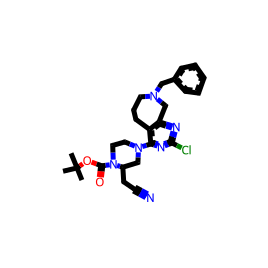 CC(C)(C)OC(=O)N1CCN(c2nc(Cl)nc3c2CCCN(Cc2ccccc2)C3)CC1CC#N